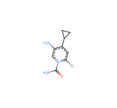 NC(=O)[n+]1cc(N)c(C2CC2)cc1Cl